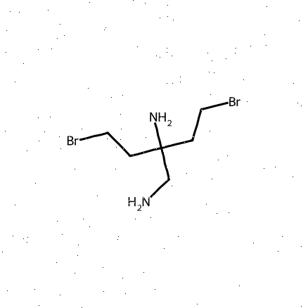 NCC(N)(CCBr)CCBr